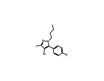 CCCCn1nc(C)c(Br)c1-c1ccc(F)cc1